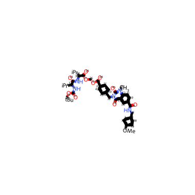 COc1ccc(CNC(=O)c2ccc3c(c2)c(=O)n(Cc2ccc(C(=O)OCOC(=O)C(NC(=O)C(NC(=O)OC(C)(C)C)C(C)C)C(C)C)cc2)c(=O)n3C)cc1